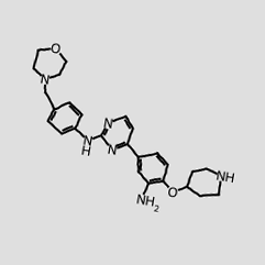 Nc1cc(-c2ccnc(Nc3ccc(CN4CCOCC4)cc3)n2)ccc1OC1CCNCC1